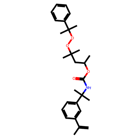 C=C(C)c1cccc(C(C)(C)NC(=O)OC(C)CC(C)(C)OOC(C)(C)c2ccccc2)c1